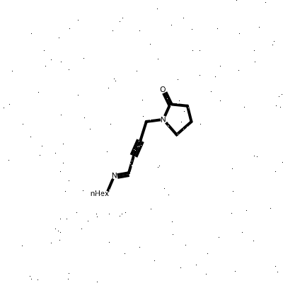 CCCCCCN=CC#CCN1CCCC1=O